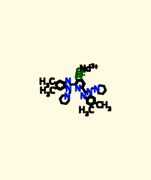 Cc1cc2nc(-c3cccc(-c4nc5cc(C)c(C)cc5n4CN4CCCCC4)n3)n(CN3CCCCC3)c2cc1C.[Cl-].[Cl-].[Cl-].[Nd+3]